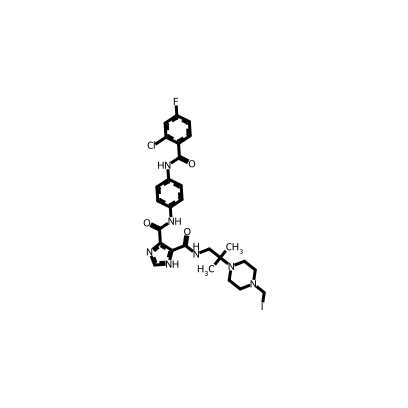 CC(C)(CNC(=O)c1[nH]cnc1C(=O)Nc1ccc(NC(=O)c2ccc(F)cc2Cl)cc1)N1CCN(CI)CC1